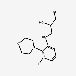 NCC(O)CNc1cccc(F)c1N1CCOCC1